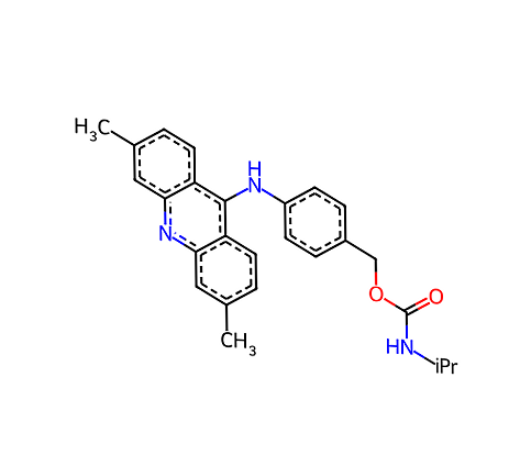 Cc1ccc2c(Nc3ccc(COC(=O)NC(C)C)cc3)c3ccc(C)cc3nc2c1